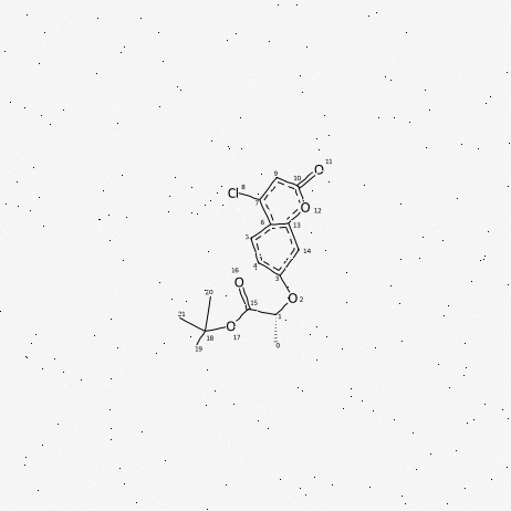 C[C@@H](Oc1ccc2c(Cl)cc(=O)oc2c1)C(=O)OC(C)(C)C